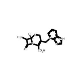 NC1C(=O)N2C(C(=O)O)=C(C[n+]3cccc4[nH]cnc43)CS[C@@H]12